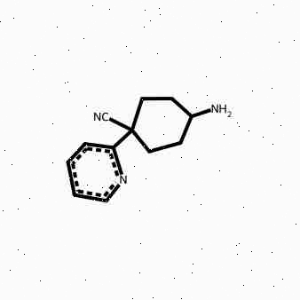 N#CC1(c2ccccn2)CCC(N)CC1